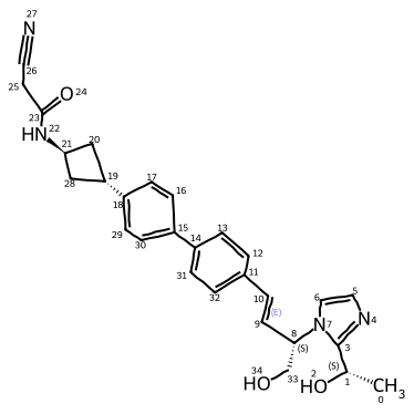 C[C@H](O)c1nccn1[C@@H](/C=C/c1ccc(-c2ccc([C@H]3C[C@H](NC(=O)CC#N)C3)cc2)cc1)CO